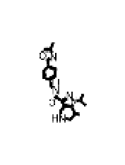 Cc1coc(-c2ccc(CNC(=O)c3nn(C(C)C)c4c3CNCC4C)cc2)n1